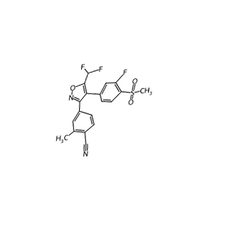 Cc1cc(-c2noc(C(F)F)c2-c2ccc(S(C)(=O)=O)c(F)c2)ccc1C#N